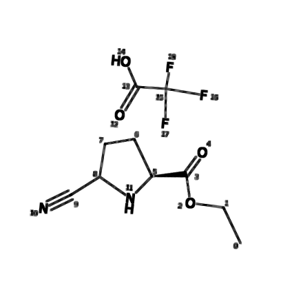 CCOC(=O)[C@@H]1CCC(C#N)N1.O=C(O)C(F)(F)F